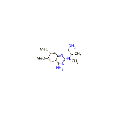 COc1cc2nc(N(C)C(C)CN)nc(N)c2cc1OC